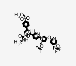 CCS(=O)(=O)c1ccc(C(CNC(=O)NC)NC(=O)c2ccc(N3C[C@@H](Oc4ccc(OC(F)(F)F)cn4)C[C@H]3COC(F)F)nc2)cc1